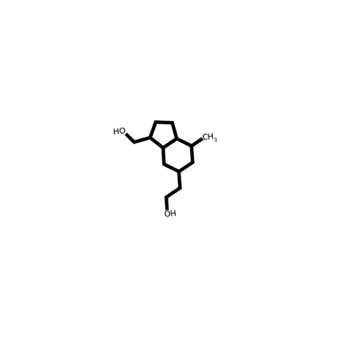 CC1CC(CCO)CC2C(CO)CCC12